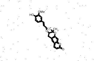 COc1cc(C=CCOC2Cc3cc4ccc(=O)oc4cc3OC2(C)C)ccc1O